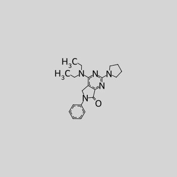 CCN(CC)c1nc(N2CCCC2)nc2c1CN(c1ccccc1)C2=O